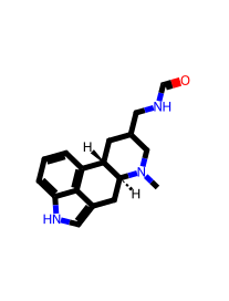 CN1CC(CNC=O)C[C@H]2c3cccc4[nH]cc(c34)C[C@@H]21